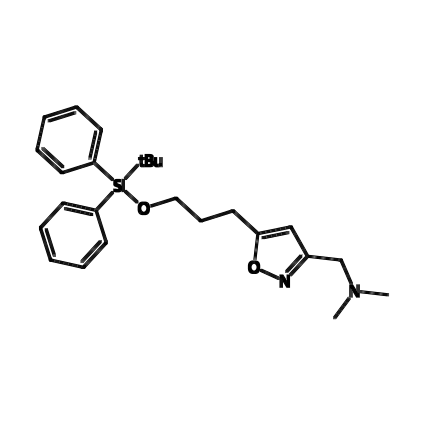 CN(C)Cc1cc(CCCO[Si](c2ccccc2)(c2ccccc2)C(C)(C)C)on1